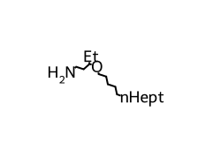 CCCCCCCCCCCCOC(CC)CCN